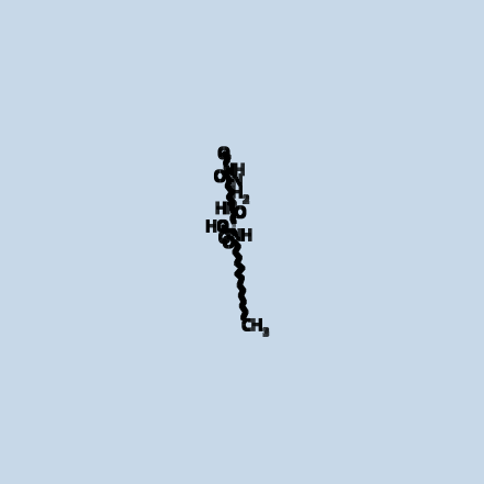 CCCCCCCCCCCCCCCC(=O)N[C@@H](CCC(=O)NCCCC[C@H](N)C(=O)NC[C]=O)C(=O)O